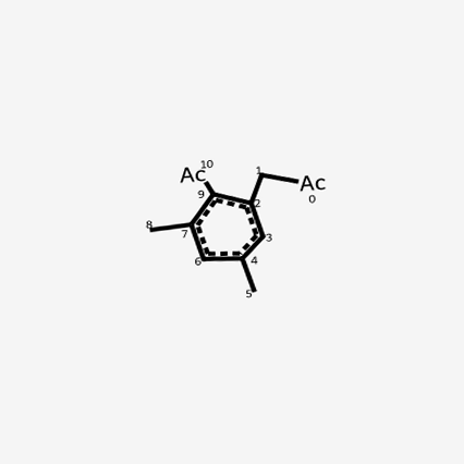 CC(=O)Cc1cc(C)cc(C)c1C(C)=O